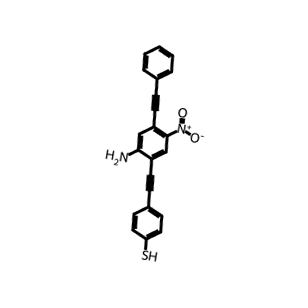 Nc1cc(C#Cc2ccccc2)c([N+](=O)[O-])cc1C#Cc1ccc(S)cc1